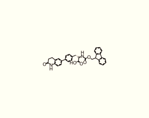 O=C1CCc2cc(-c3ccc(C[C@H](NC(=O)OCC4c5ccccc5-c5ccccc54)C(=O)O)cc3)ccc2N1